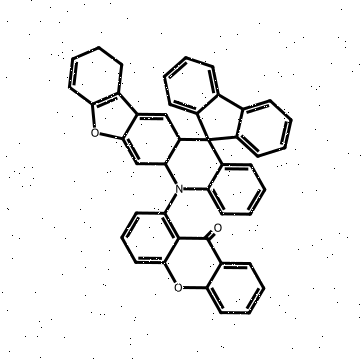 O=c1c2ccccc2oc2cccc(N3c4ccccc4C4(c5ccccc5-c5ccccc54)C4C=c5c6c(oc5=CC43)C=CCC6)c12